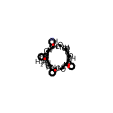 CN1CC(=O)N[C@@H](CC2CCCCCCC2)C(=O)N[C@@H](N)C(=O)N[C@@H](CC2CCCCCCC2)C(=O)N(C)[C@@H](CC2CC/C=C\CCC2)C(=O)NCC(=O)NCC(=O)N(C)CC(=O)N[C@@H](CC2CCCCCCC2)C(=O)N(C)CC1=O